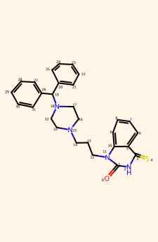 O=c1[nH]c(=S)c2ccccc2n1CCCN1CCN(C(c2ccccc2)c2ccccc2)CC1